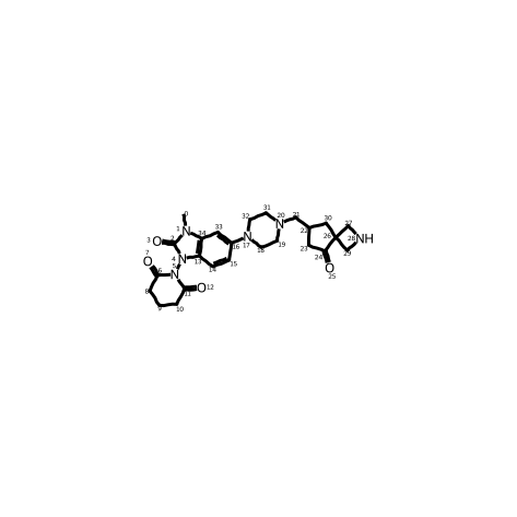 Cn1c(=O)n(N2C(=O)CCCC2=O)c2ccc(N3CCN(CC4CC(=O)C5(CNC5)C4)CC3)cc21